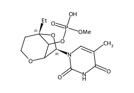 CC[C@]12CCOC(C1OP(=O)(O)OC)[C@H](n1cc(C)c(=O)[nH]c1=O)O2